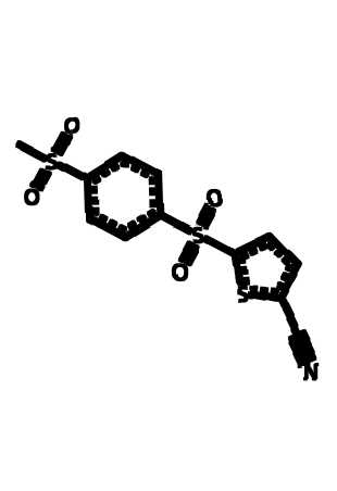 CS(=O)(=O)c1ccc(S(=O)(=O)c2ccc(C#N)s2)cc1